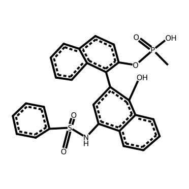 CP(=O)(O)Oc1ccc2ccccc2c1-c1cc(NS(=O)(=O)c2ccccc2)c2ccccc2c1O